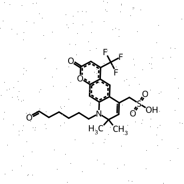 CC1(C)C=C(CS(=O)(=O)O)c2cc3c(C(F)(F)F)cc(=O)oc3cc2N1CCCCCC=O